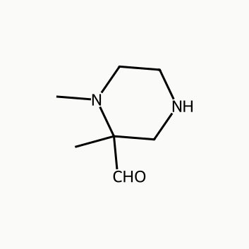 CN1CCNCC1(C)C=O